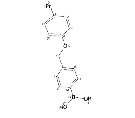 CC(C)c1ccc(OCc2ccc(B(O)O)cc2)cc1